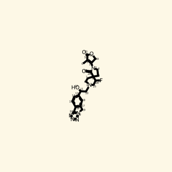 CC1=C(N2CCC3(CCN(CC(O)c4ccc5c(c4)Cn4nnnc4-5)CC3F)C2=O)COC1=O